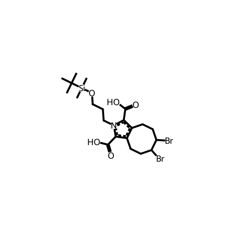 CC(C)(C)[Si](C)(C)OCCCn1c(C(=O)O)c2c(c1C(=O)O)CCC(Br)C(Br)CC2